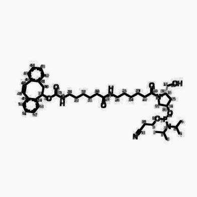 CC(C)N(C(C)C)P(OCCC#N)O[C@@H]1C[C@@H](CO)N(C(=O)CCCCCNC(=O)CCCCCNC(=O)OC2Cc3ccccc3C#Cc3ccccc32)C1